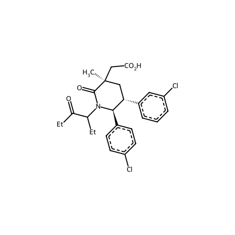 CCC(=O)C(CC)N1C(=O)[C@@](C)(CC(=O)O)C[C@H](c2cccc(Cl)c2)[C@H]1c1ccc(Cl)cc1